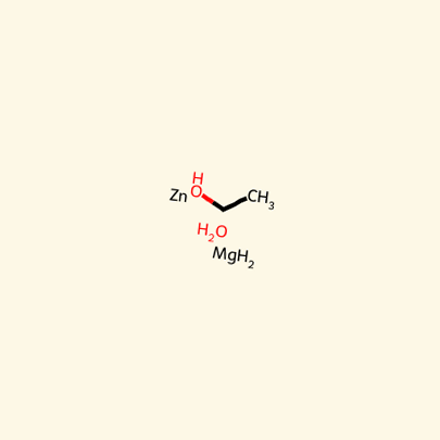 CCO.O.[MgH2].[Zn]